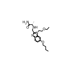 CCCCOc1ccc2nc(CN[C@@H](C)C(N)=O)n(CCOCC)c2c1